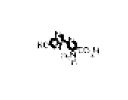 CC(C)Nc1cc(-c2cnc3cc(C#N)cnn23)ncc1C(=O)O